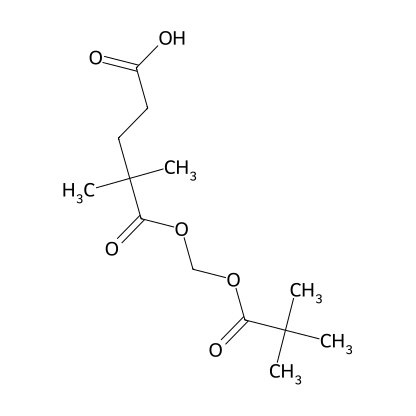 CC(C)(C)C(=O)OCOC(=O)C(C)(C)CCC(=O)O